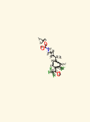 CC(C)(C)OC(=O)N1CC2(CC(Cc3ccc(C(=O)C(F)(F)F)c(F)c3)C2)C1